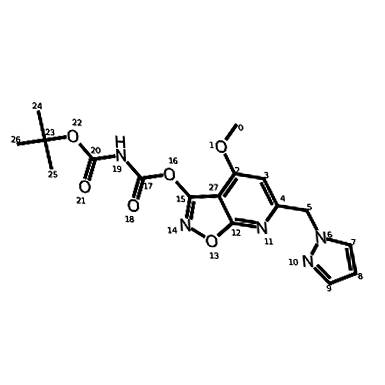 COc1cc(Cn2cccn2)nc2onc(OC(=O)NC(=O)OC(C)(C)C)c12